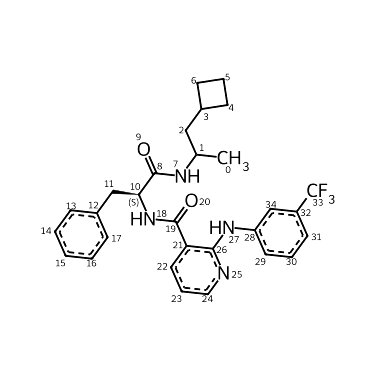 CC(CC1CCC1)NC(=O)[C@H](Cc1ccccc1)NC(=O)c1cccnc1Nc1cccc(C(F)(F)F)c1